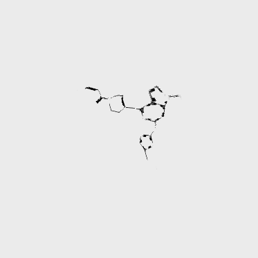 C=CC(=O)N1CC=C(c2nc(Nc3nc(C)cs3)cc3c2ccn3C(C)C)CC1